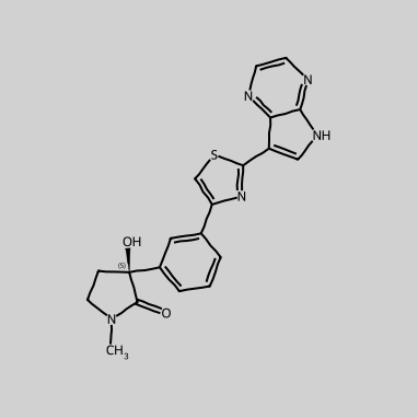 CN1CC[C@](O)(c2cccc(-c3csc(-c4c[nH]c5nccnc45)n3)c2)C1=O